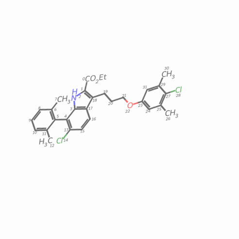 CCOC(=O)c1[nH]c2c(-c3c(C)cccc3C)c(Cl)ccc2c1CCCOc1cc(C)c(Cl)c(C)c1